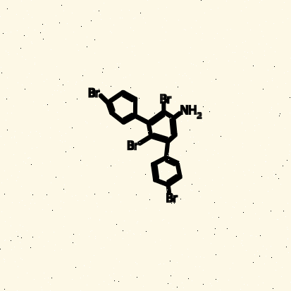 Nc1cc(-c2ccc(Br)cc2)c(Br)c(-c2ccc(Br)cc2)c1Br